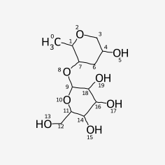 CC1OCC(O)CC1OC1OC(CO)C(O)C(O)C1O